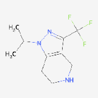 CC(C)n1nc(C(F)(F)F)c2c1CCNC2